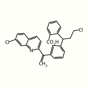 C=C(c1cccc(C(CCCl)c2ccccc2C(=O)O)c1)c1ccc2ccc(Cl)cc2n1